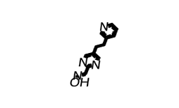 O/N=C/c1ncc(CCc2cccnc2)cn1